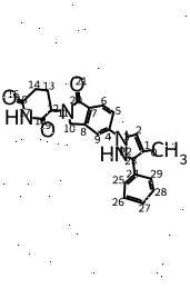 CC1=CN(c2ccc3c(c2)CN(C2CCC(=O)NC2=O)C3=O)NC1c1ccccc1